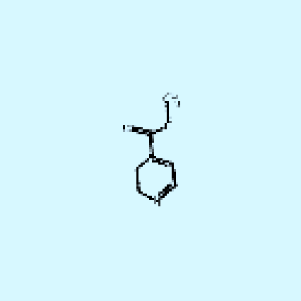 COC(=O)C1=CC=NCC1